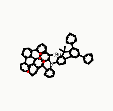 CC(C)(C)c1ccccc1N(c1ccc2c(c1)C(C)(C)c1c(-c3ccccc3)cc(-c3ccccc3)cc1-2)c1ccccc1-c1ccc(-c2c(-c3ccccc3)cccc2-c2ccccc2)c2ccccc12